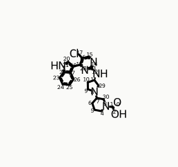 O=C(O)N1CCCC(N2CC[C@@H](Nc3ncc(Cl)c(-c4c[nH]c5ccccc45)n3)C2)C1